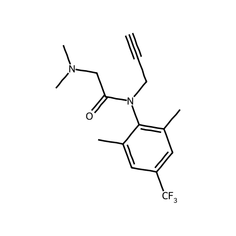 C#CCN(C(=O)CN(C)C)c1c(C)cc(C(F)(F)F)cc1C